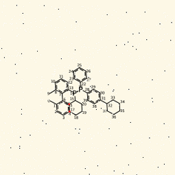 Cc1ccc[c]c1-c1c(C)cccc1P(C1CCCCC1)[P@@](c1ccccc1)c1ccc(C2CCCCC2)cc1